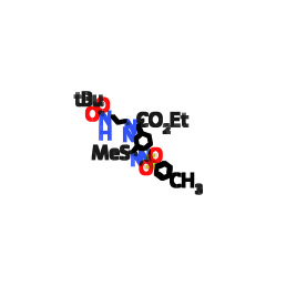 CCOC(=O)c1c2c(nn1CCCNC(=O)OC(C)(C)C)-c1c(SC)nn(S(=O)(=O)c3ccc(C)cc3)c1CC2